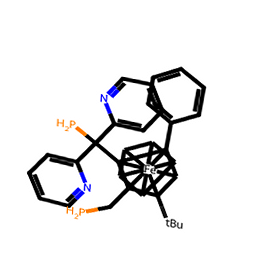 CC(C)(C)[C]12[CH]3[C]4(c5ccccc5)[C]5(C(P)(c6ccccn6)c6ccccn6)[C]1(CP)[Fe]34251678[CH]2[CH]1[CH]6[CH]7[CH]28